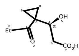 CCC(=O)C1([C@@H](O)CC(=O)O)CC1